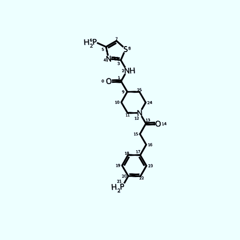 O=C(Nc1nc(P)cs1)C1CCN(C(=O)CCc2ccc(P)cc2)CC1